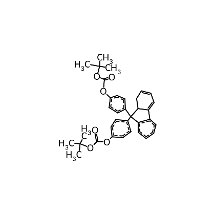 CC(C)(C)OC(=O)Oc1ccc(C2(c3ccc(OC(=O)OC(C)(C)C)cc3)c3ccccc3C3=CC=CCC32)cc1